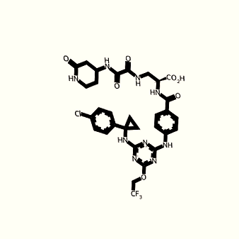 O=C1CC(NC(=O)C(=O)NC[C@H](NC(=O)c2ccc(Nc3nc(NC4(c5ccc(Cl)cc5)CC4)nc(OCC(F)(F)F)n3)cc2)C(=O)O)CCN1